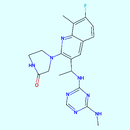 CNc1ncnc(NC(C)c2cc3ccc(F)c(C)c3nc2N2CCNC(=O)C2)n1